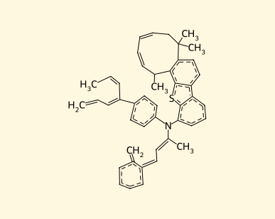 C=C/C=C(\C=C/C)c1ccc(N(/C(C)=C/C=c2/ccccc2=C)c2cccc3c2sc2c4c(ccc23)C(C)(C)C/C=C\C=C/C4C)cc1